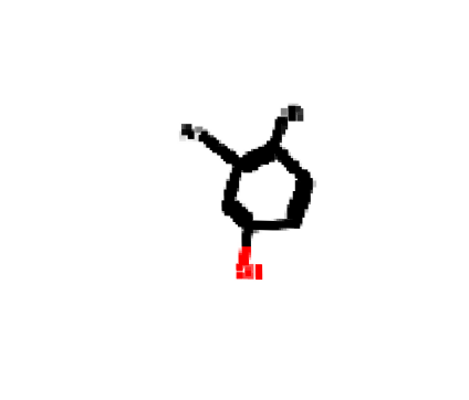 CCCc1ccc(O)cc1C(C)=O